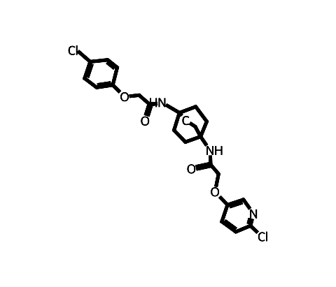 O=C(COc1ccc(Cl)cc1)NC12CCC(NC(=O)COc3ccc(Cl)nc3)(CC1)CC2